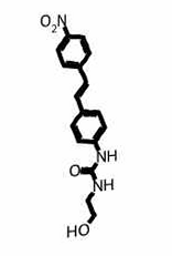 O=C(NCCO)Nc1ccc(C=Cc2ccc([N+](=O)[O-])cc2)cc1